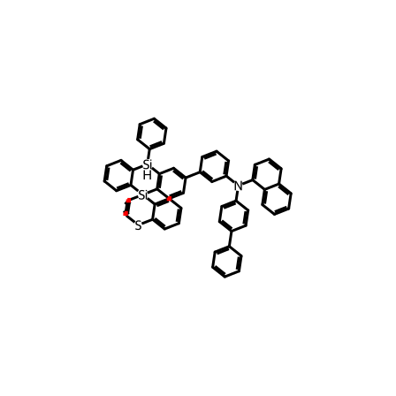 c1ccc(-c2ccc(N(c3cccc(-c4ccc5c(c4)[SiH](c4ccccc4)c4ccccc4[Si]54c5ccccc5Sc5ccccc54)c3)c3cccc4ccccc34)cc2)cc1